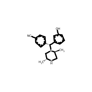 C[C@@H]1CN([C@H](c2ccc(C#N)cc2)c2cccc(O)c2)[C@@H](C)CN1